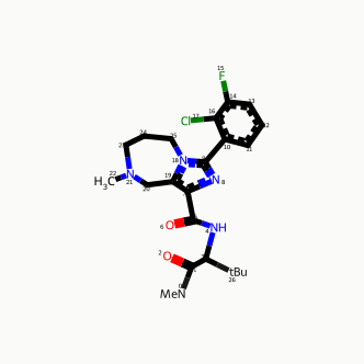 CNC(=O)C(NC(=O)c1nc(-c2cccc(F)c2Cl)n2c1CN(C)CCC2)C(C)(C)C